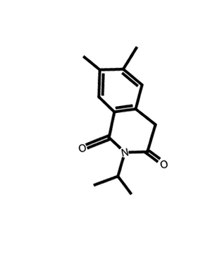 Cc1cc2c(cc1C)C(=O)N(C(C)C)C(=O)C2